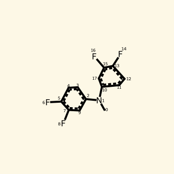 CN(c1ccc(F)c(F)c1)c1ccc(F)c(F)c1